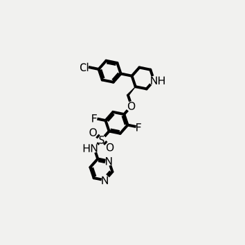 O=S(=O)(Nc1ccncn1)c1cc(F)c(OC[C@@H]2CNCCC2c2ccc(Cl)cc2)cc1F